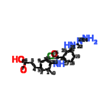 Cc1cc(C=CC(=O)O)cc(Cl)c1NC(=O)c1cccc(NC=NN)c1